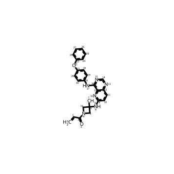 C=CC(=O)N1CC(C)(Nc2ccc3ncnc(Nc4ccc(Oc5ccccc5)cc4)c3n2)C1